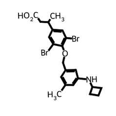 Cc1cc(COc2c(Br)cc(C(C)CC(=O)O)cc2Br)cc(NC2CCC2)c1